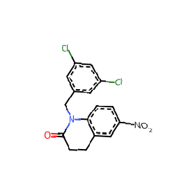 O=C1CCc2cc([N+](=O)[O-])ccc2N1Cc1cc(Cl)cc(Cl)c1